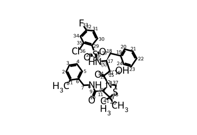 Cc1ccccc1CNC(=O)[C@H]1N(C(=O)[C@@H](O)[C@H](Cc2ccccc2)NS(=O)(=O)c2ccc(F)cc2Cl)CSC1(C)C